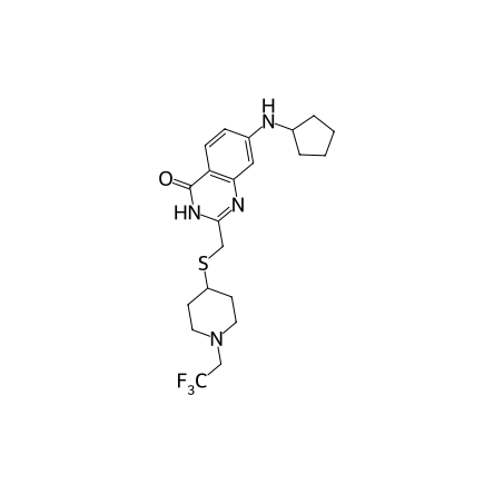 O=c1[nH]c(CSC2CCN(CC(F)(F)F)CC2)nc2cc(NC3CCCC3)ccc12